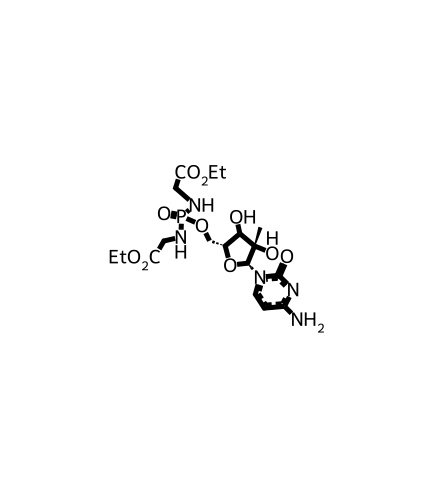 CCOC(=O)CNP(=O)(NCC(=O)OCC)OC[C@H]1O[C@@H](n2ccc(N)nc2=O)[C@@](C)(O)C1O